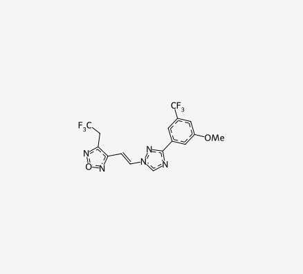 COc1cc(-c2ncn(C=Cc3nonc3CC(F)(F)F)n2)cc(C(F)(F)F)c1